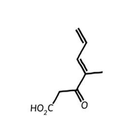 C=CC=C(C)C(=O)CC(=O)O